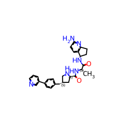 C[C@H](NC(=O)[C@H]1C[C@H](Cc2ccc(-c3cccnc3)cc2)CN1)C(=O)NC1CCc2nc(N)ccc21